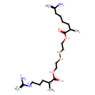 C=C(N)CCCCC(C)C(=O)OCCSSCCOC(=O)C(C)CCCNC(=C)N